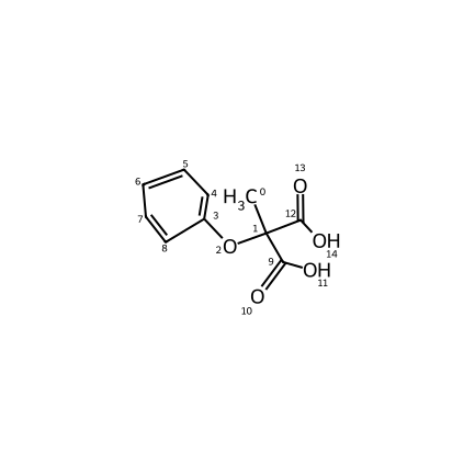 CC(Oc1ccccc1)(C(=O)O)C(=O)O